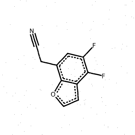 N#CCc1cc(F)c(F)c2ccoc12